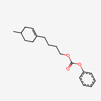 CC1CC=C(CCCCOC(=O)Oc2ccccc2)CC1